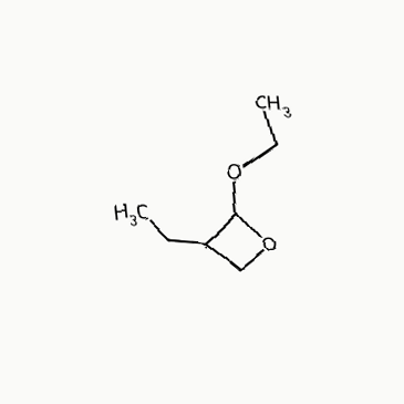 CCOC1OC[C]1CC